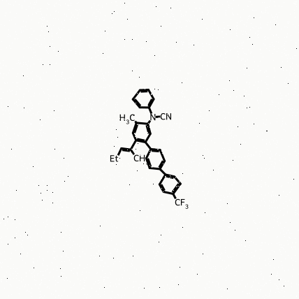 CC/C=C(\C)c1cc(C)c(N(C#N)c2ccccc2)cc1-c1ccc(-c2ccc(C(F)(F)F)cc2)cc1